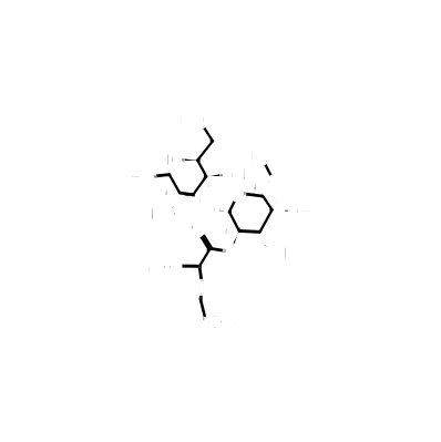 CCCCCCCCCCCCC(CCCCCCCCCC)C(=O)O[C@H]1[C@H](O[C@@H]([C@H](O)[C@@H](O)CO)[C@H](O)CO)O[C@H](CO)[C@H](O)[C@@H]1O